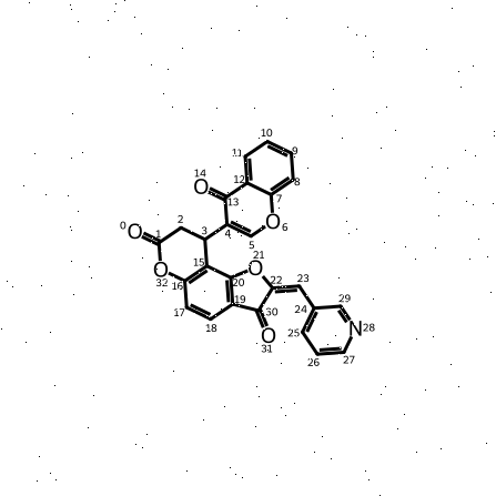 O=C1CC(c2coc3ccccc3c2=O)c2c(ccc3c2OC(=Cc2cccnc2)C3=O)O1